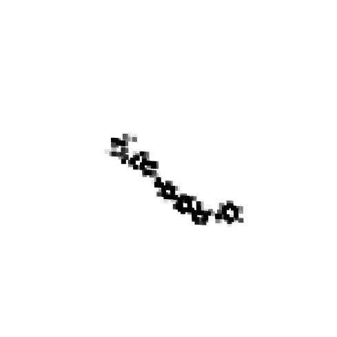 CCCC(OC(=O)C[C@@H]1C[C@@H](COc2ccc(-c3ccc(C(=N)NC(=O)OCc4ccccc4)cc3)cc2)NC1=O)OC(=O)C(C)(C)C